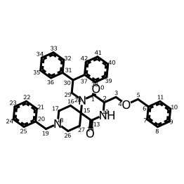 O=C1C(COCc2ccccc2)NC(=O)C2(CCN(Cc3ccccc3)CC2)N1CC(c1ccccc1)c1ccccc1